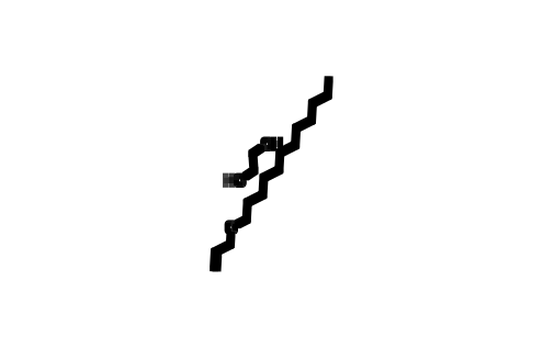 C=CCOCCCCCCCCCCCC.OCCO